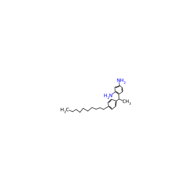 CCCCCCCCCCc1ccc(C(C)c2ccc(N)cc2N)cc1